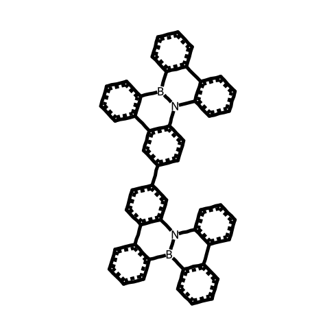 c1ccc2c(c1)B1c3ccccc3-c3cc(-c4ccc5c(c4)N4B(c6ccccc6-c6ccccc64)c4ccccc4-5)ccc3N1c1ccccc1-2